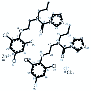 CCCN(CCOc1c(Cl)cc(Cl)cc1Cl)C(=O)n1ccnc1.CCCN(CCOc1c(Cl)cc(Cl)cc1Cl)C(=O)n1ccnc1.[Cl-].[Cl-].[Zn+2]